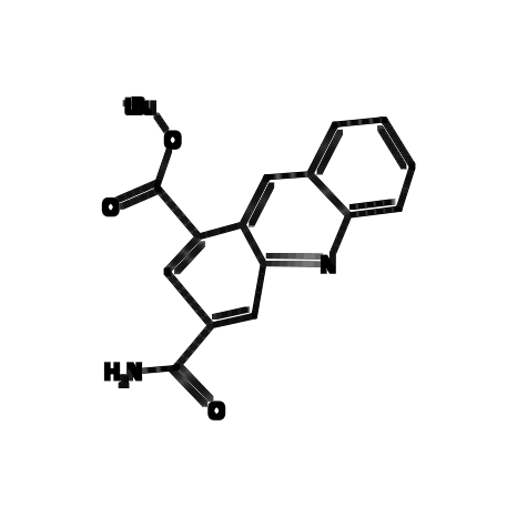 CC(C)(C)OC(=O)c1cc(C(N)=O)cc2nc3ccccc3cc12